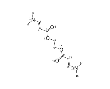 CN(C)/C=C/C(=O)OCCOC(=O)/C=C/N(C)C